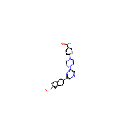 COc1ccc2cc(-c3cncc(N4CCN(c5ccc(C(C)=O)cc5)CC4)n3)ccc2c1